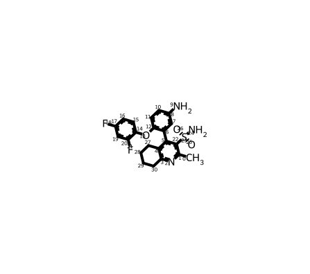 Cc1nc2c(c(-c3cc(N)ccc3Oc3ccc(F)cc3F)c1S(N)(=O)=O)CCCC2